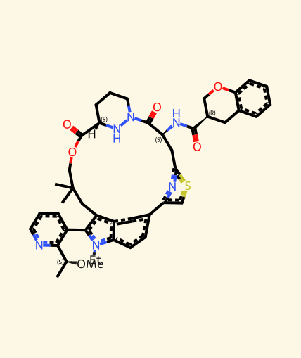 CCn1c(-c2cccnc2[C@H](C)OC)c2c3cc(ccc31)-c1csc(n1)C[C@H](NC(=O)[C@H]1COc3ccccc3C1)C(=O)N1CCC[C@H](N1)C(=O)OCC(C)(C)C2